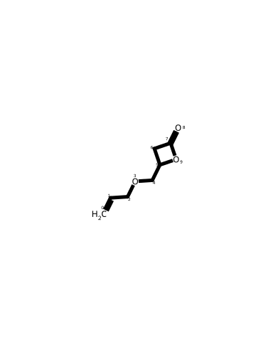 C=CCOCC1CC(=O)O1